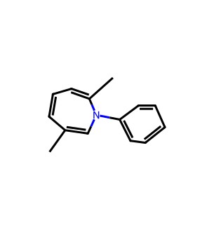 CC1=CN(c2ccccc2)C(C)=CC=C1